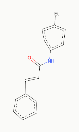 [CH2]Cc1ccc(NC(=O)C=Cc2ccccc2)cc1